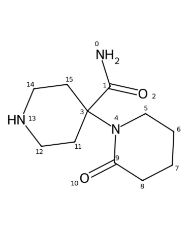 NC(=O)C1(N2CCCCC2=O)CCNCC1